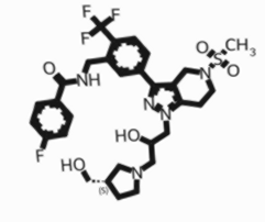 CS(=O)(=O)N1CCc2c(c(-c3ccc(C(F)(F)F)c(CNC(=O)c4ccc(F)cc4)c3)nn2CC(O)CN2CC[C@H](CO)C2)C1